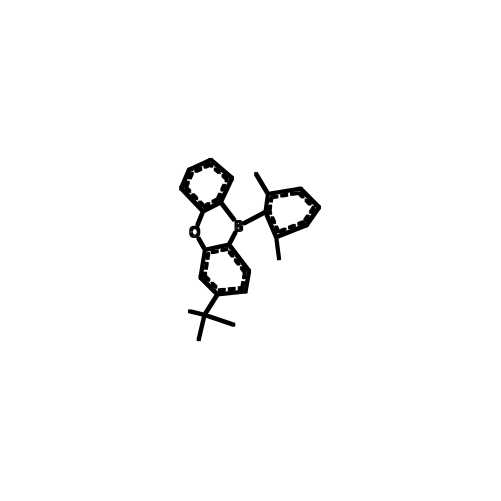 Cc1cccc(C)c1B1c2ccccc2Oc2cc(C(C)(C)C)ccc21